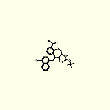 CC(C)(C)OC(=O)NC1COc2c(C(=O)O)cccc2N(Cc2ccc(Br)c3ccccc23)C1=O